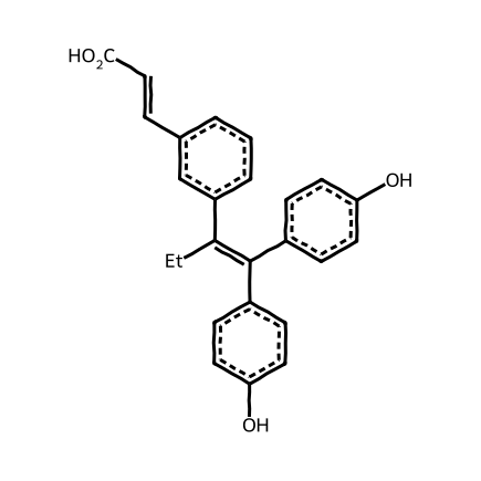 CCC(=C(c1ccc(O)cc1)c1ccc(O)cc1)c1cccc(/C=C/C(=O)O)c1